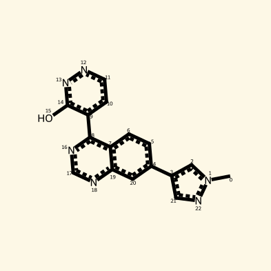 Cn1cc(-c2ccc3c(-c4ccnnc4O)ncnc3c2)cn1